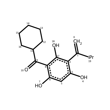 C=C(c1c(O)cc(O)c(C(=O)C2CCCCC2)c1O)C(C)C